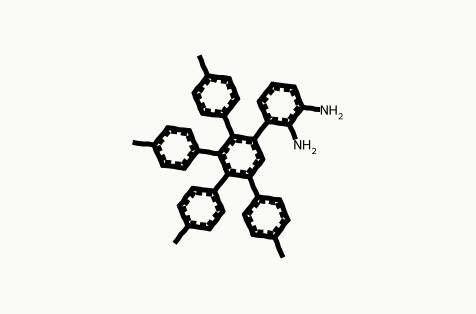 Cc1ccc(-c2cc(-c3cccc(N)c3N)c(-c3ccc(C)cc3)c(-c3ccc(C)cc3)c2-c2ccc(C)cc2)cc1